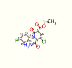 CCOC(=O)c1cc(Cl)c(C(N)=O)n(-c2ccc(F)cc2)c1=O